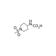 CS(=O)(=O)N1CCC(NC(=O)O)CC1